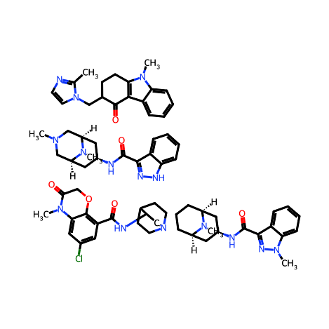 CN1C(=O)COc2c(C(=O)NC3CN4CCC3CC4)cc(Cl)cc21.CN1C[C@H]2C[C@@H](NC(=O)c3n[nH]c4ccccc34)C[C@@H](C1)N2C.CN1[C@@H]2CCC[C@H]1C[C@@H](NC(=O)c1nn(C)c3ccccc13)C2.Cc1nccn1CC1CCc2c(c3ccccc3n2C)C1=O